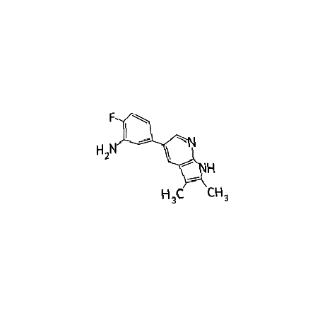 Cc1[nH]c2ncc(-c3ccc(F)c(N)c3)cc2c1C